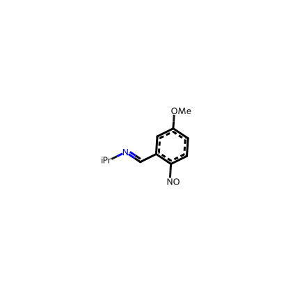 COc1ccc(N=O)c(/C=N/C(C)C)c1